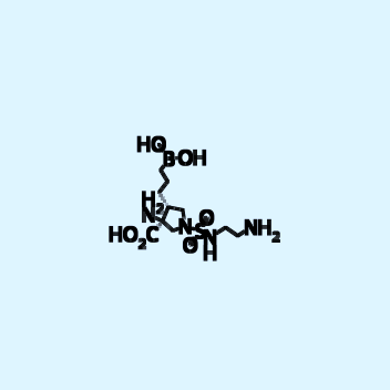 NCCNS(=O)(=O)N1C[C@@H](CCCB(O)O)[C@@](N)(C(=O)O)C1